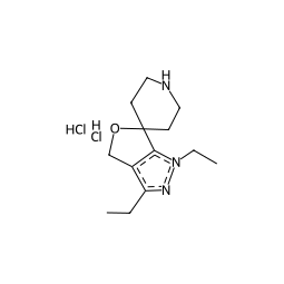 CCc1nn(CC)c2c1COC21CCNCC1.Cl.Cl